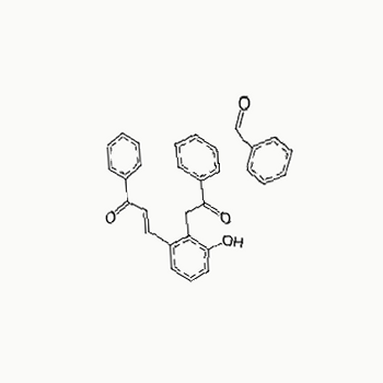 O=C(C=Cc1cccc(O)c1CC(=O)c1ccccc1)c1ccccc1.O=Cc1ccccc1